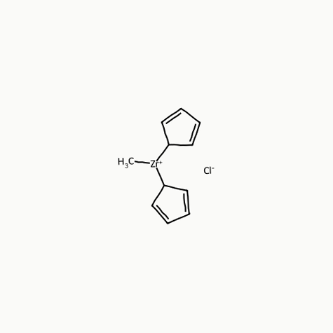 [CH3][Zr+]([CH]1C=CC=C1)[CH]1C=CC=C1.[Cl-]